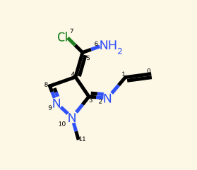 C=C/N=C1\C(=C(/N)Cl)C=NN1C